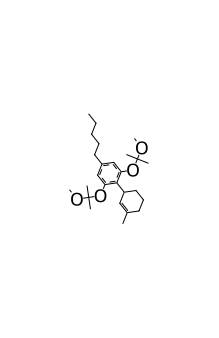 CCCCCc1cc(OC(C)(C)OC)c(C2C=C(C)CCC2)c(OC(C)(C)OC)c1